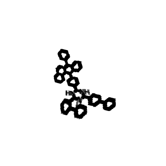 c1ccc(-c2ccc(C3NC(c4ccc(-c5c6ccccc6c(-c6ccccc6)c6ccc7ccccc7c56)cc4)NC(c4ccccc4-c4ccccc4)N3)cc2)cc1